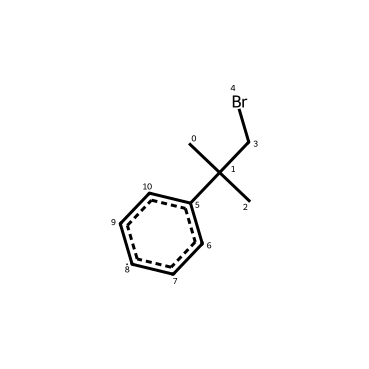 CC(C)(CBr)c1cc[c]cc1